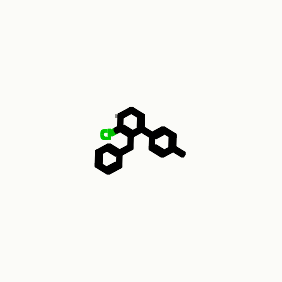 Cc1ccc(C2=CC[CH]C(Cl)=C2Cc2ccccc2)cc1